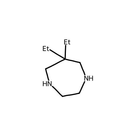 CCC1(CC)CNCCNC1